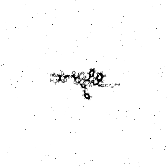 CCCCC(NC(=O)CNC(=O)C(=O)C(CCC)NC(=O)[C@@H]1C[C@@H](OCc2ccccc2)CN1C(=O)C(NC(=O)CC(CC(=O)O)c1ccccc1)C1CCCCC1)C(N)=O